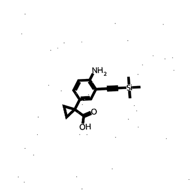 C[Si](C)(C)C#Cc1cc(C2(C(=O)O)CC2)ccc1N